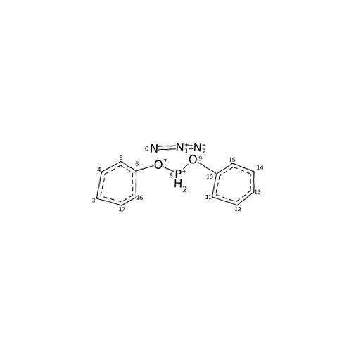 [N-]=[N+]=[N-].c1ccc(O[PH2+]Oc2ccccc2)cc1